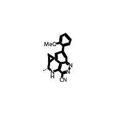 COc1ccccc1-c1ccc2c(N[C@H](C)C3CC3)c(C#N)nnc2c1